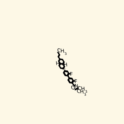 CCCCC1CC[C@@H]2C[C@H](c3ccc(-c4ccc(C5=NC(C)(C)CO5)c(F)c4)c(F)c3)CC[C@@H]2C1